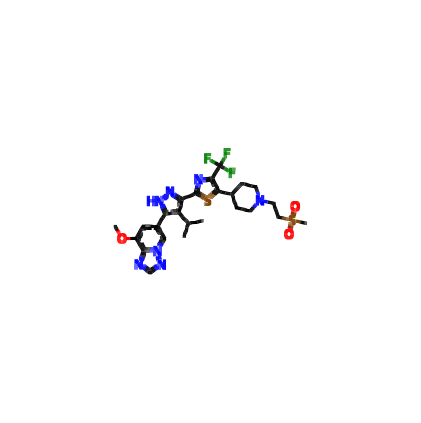 COc1cc(-c2[nH]nc(-c3nc(C(F)(F)F)c(C4CCN(CCS(C)(=O)=O)CC4)s3)c2C(C)C)cn2ncnc12